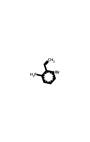 Br.C=Cc1ccccc1P